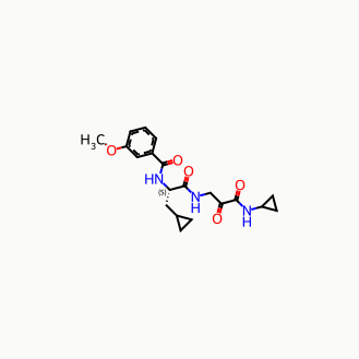 COc1cccc(C(=O)N[C@@H](CC2CC2)C(=O)NCC(=O)C(=O)NC2CC2)c1